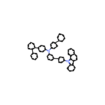 c1ccc(-c2ccc(N(c3ccc(-c4ccccc4-c4ccccc4)cc3)c3cccc(-c4ccc(-n5c6ccccc6c6ccc7ccccc7c65)cc4)c3)cc2)cc1